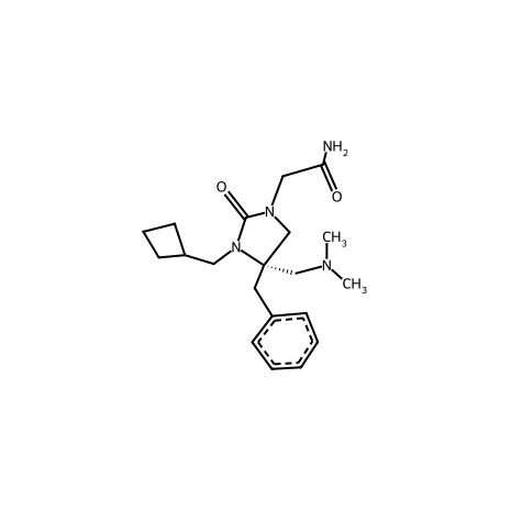 CN(C)C[C@@]1(Cc2ccccc2)CN(CC(N)=O)C(=O)N1CC1CCC1